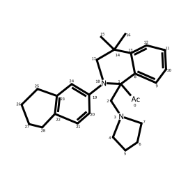 CC(=O)C1(CN2CCCC2)c2ccccc2C(C)(C)CN1c1ccc2c(c1)CCCC2